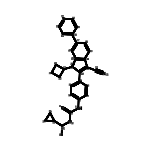 C[C@@H](OC(=O)Nc1ccc(-c2c(C#N)c3ccc(-c4ccncc4)cc3n2C2CCC2)cc1)C1CC1